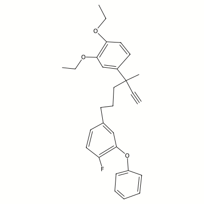 C#CC(C)(CCCc1ccc(F)c(Oc2ccccc2)c1)c1ccc(OCC)c(OCC)c1